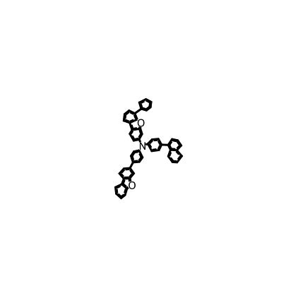 c1ccc(-c2cccc3c2oc2cc(N(c4ccc(-c5ccc6c(c5)oc5ccccc56)cc4)c4ccc(-c5cccc6ccccc56)cc4)ccc23)cc1